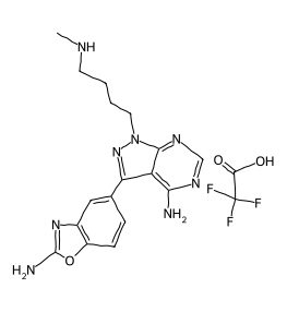 CNCCCCn1nc(-c2ccc3oc(N)nc3c2)c2c(N)ncnc21.O=C(O)C(F)(F)F